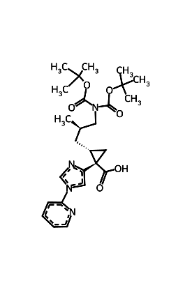 C[C@H](C[C@@H]1C[C@@]1(C(=O)O)c1cn(-c2ccccn2)cn1)CN(C(=O)OC(C)(C)C)C(=O)OC(C)(C)C